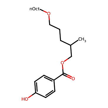 CCCCCCCCOCCCC(C)COC(=O)c1ccc(O)cc1